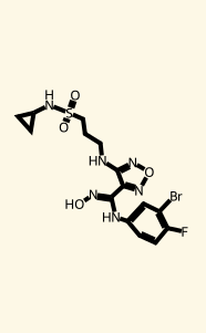 O=S(=O)(CCCNc1nonc1/C(=N/O)Nc1ccc(F)c(Br)c1)NC1CC1